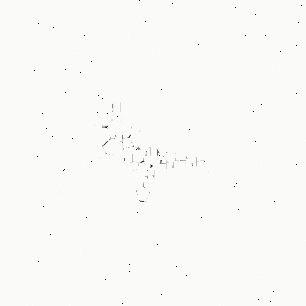 CC1C=C(C(=O)O)N2C(=O)C(NC(=O)/C(=N\OC3CCCC3)c3nsc(N)n3)[C@H]2S1